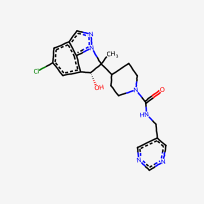 CC1(C2CCN(C(=O)NCc3cncnc3)CC2)[C@H](O)c2cc(Cl)cc3cnn1c23